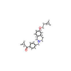 O=C(c1ccc(CN2CCc3cc(OCCC4CC4)ccc3C2)cc1)C1CC1